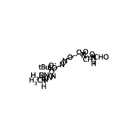 Cc1[nH]nc(Nc2ncnc3cc(OCCCN4CCN(CCOCCCc5cccc6c5CN(C(C)CCC(=O)NC=O)C6=O)CC4)c([S+]([O-])C(C)(C)C)cc23)c1C